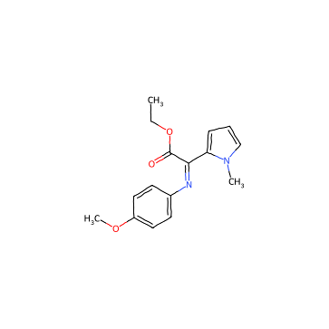 CCOC(=O)/C(=N\c1ccc(OC)cc1)c1cccn1C